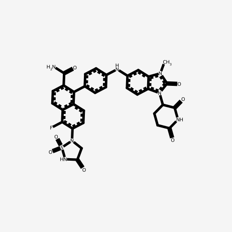 Cn1c(=O)n(C2CCC(=O)NC2=O)c2ccc(Nc3ccc(-c4c(C(N)=O)ccc5c(F)c(N6CC(=O)NS6(=O)=O)ccc45)cc3)cc21